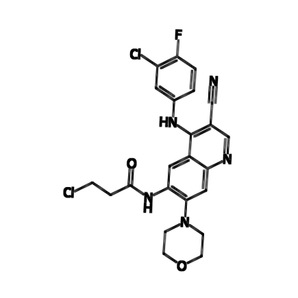 N#Cc1cnc2cc(N3CCOCC3)c(NC(=O)CCCl)cc2c1Nc1ccc(F)c(Cl)c1